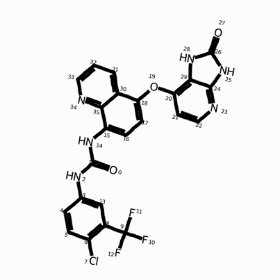 O=C(Nc1ccc(Cl)c(C(F)(F)F)c1)Nc1ccc(Oc2ccnc3[nH]c(=O)[nH]c23)c2cccnc12